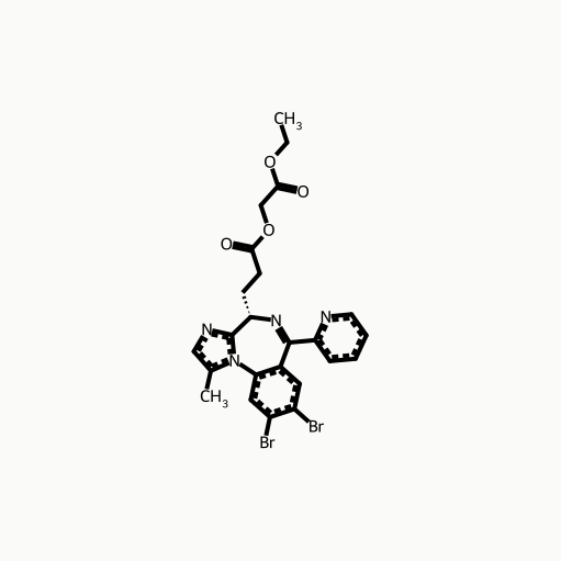 CCOC(=O)COC(=O)CC[C@@H]1N=C(c2ccccn2)c2cc(Br)c(Br)cc2-n2c(C)cnc21